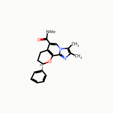 CNC(=O)c1cn2c(C)c(C)nc2c2c1CC[C@@H](c1ccccc1)O2